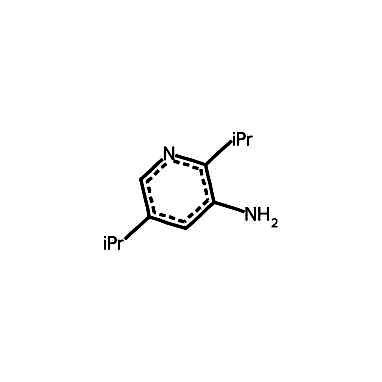 CC(C)c1cnc(C(C)C)c(N)c1